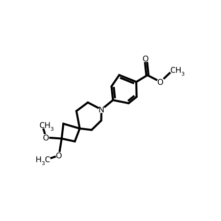 COC(=O)c1ccc(N2CCC3(CC2)CC(OC)(OC)C3)cc1